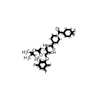 CC(C)(C)OC(=O)C[C@H](NC(=O)C1CCN(C(=O)C2CCC(F)(F)CC2)CC1)C(O)COc1c(F)c(F)cc(F)c1F